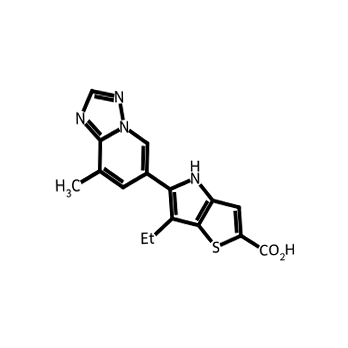 CCc1c(-c2cc(C)c3ncnn3c2)[nH]c2cc(C(=O)O)sc12